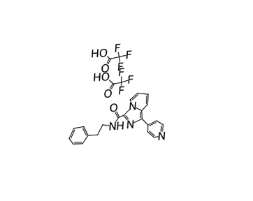 O=C(NCCc1ccccc1)c1nc(-c2ccncc2)c2ccccn12.O=C(O)C(F)(F)F.O=C(O)C(F)(F)F